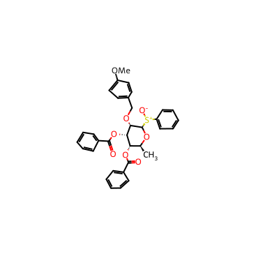 COc1ccc(CO[C@H]2[C@@H](OC(=O)c3ccccc3)[C@@H](OC(=O)c3ccccc3)[C@H](C)O[C@@H]2[S+]([O-])c2ccccc2)cc1